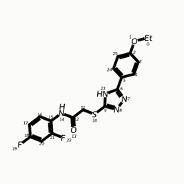 CCOc1ccc(-c2nnc(SCC(=O)Nc3ccc(F)cc3F)[nH]2)cc1